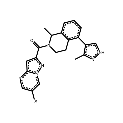 Cc1n[nH]cc1-c1cccc2c1CCN(C(=O)c1cc3ncc(Br)cn3n1)C2C